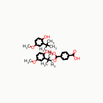 COc1ccc(O)c(C(C)(C)C)c1.COc1ccc(O)c(C(C)(C)C)c1.O=C(O)c1ccc(C(=O)O)cc1